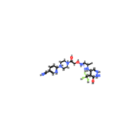 CC(/C=N/OCC(=O)N1CCN(c2ccc(C#N)cn2)CC1)Nc1cn[nH]c(=O)c1C(F)(F)F